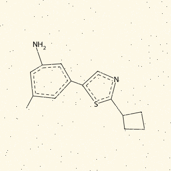 Cc1cc(N)cc(-c2cnc(C3CCC3)s2)c1